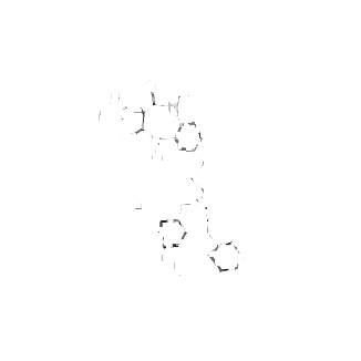 CCN1C(=O)C(C)(C)C(=O)N(C)c2cc(CCCN(CCc3cccnc3)Cc3ccc(C)nc3C)ccc21